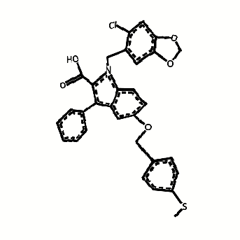 CSc1ccc(COc2ccc3c(c2)c(-c2ccccc2)c(C(=O)O)n3Cc2cc3c(cc2Cl)OCO3)cc1